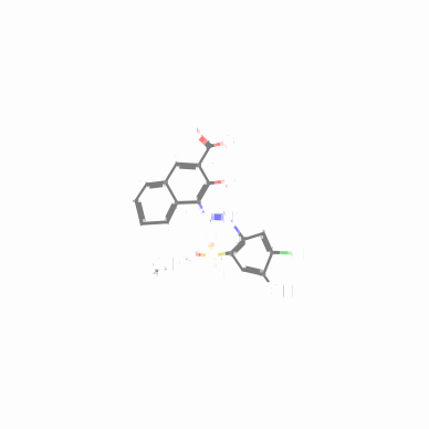 Cc1cc(S(=O)(=O)[O-])c(N=Nc2c([O-])c(C(=O)[O-])cc3ccccc23)cc1Cl.[Cd+2].[H+]